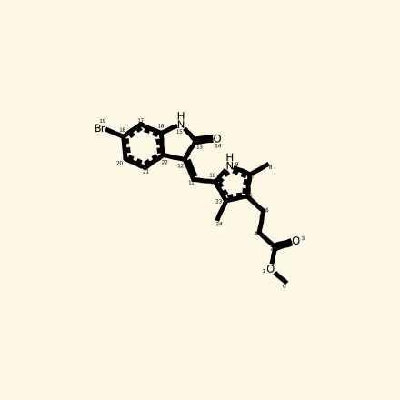 COC(=O)CCc1c(C)[nH]c(C=C2C(=O)Nc3cc(Br)ccc32)c1C